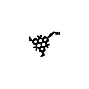 COc1cc2c3c(c1)C(C)(C)c1cc(OC)cc4c1N3c1c(cc(C#CCO)cc1C4(C)C)C2(C)C